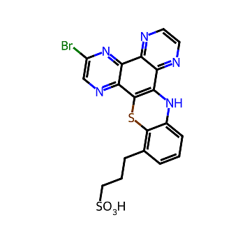 O=S(=O)(O)CCCc1cccc2c1Sc1c(c3nccnc3c3nc(Br)cnc13)N2